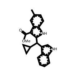 COC(=O)c1c(C(c2c[nH]c3ccccc23)C2CC2)[nH]c2ccc(C)cc12